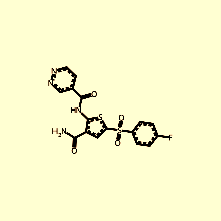 NC(=O)c1cc(S(=O)(=O)c2ccc(F)cc2)sc1NC(=O)c1ccnnc1